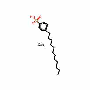 CCCCCCCCCCCCc1ccc(S(=O)(=O)O)cc1.[CaH2]